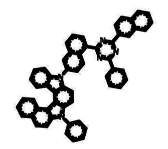 c1ccc(-c2nc(-c3ccc4ccccc4c3)nc(-c3cccc4cc(-n5c6ccccc6c6c7c8c9ccccc9ccc8n(-c8ccccc8)c7ccc65)ccc34)n2)cc1